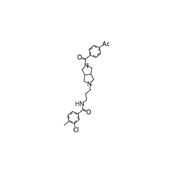 CC(=O)c1ccc(C(=O)N2CC3CN(CCCNC(=O)c4ccc(C)c(Cl)c4)CC3C2)cc1